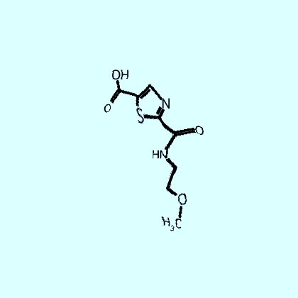 COCCNC(=O)c1ncc(C(=O)O)s1